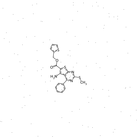 CSc1nc(-c2ccccc2)c2c(N)c(C(=O)OCc3cccs3)sc2n1